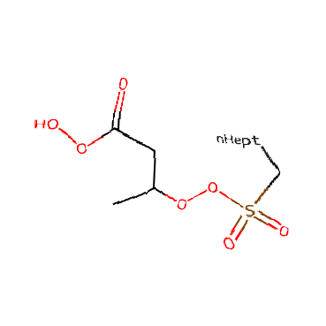 CCCCCCCCS(=O)(=O)OOC(C)CC(=O)OO